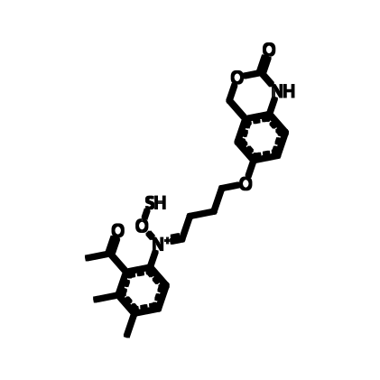 CC(=O)c1c([N+](=CCCCOc2ccc3c(c2)COC(=O)N3)OS)ccc(C)c1C